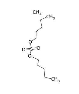 C.CCCCCOS(=O)(=O)OCCCCC